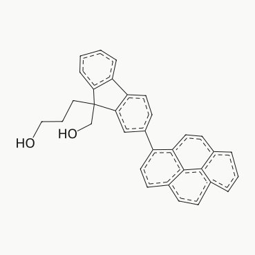 OCCCC1(CO)c2ccccc2-c2ccc(-c3ccc4ccc5cccc6ccc3c4c56)cc21